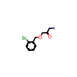 O=C(CI)COCc1ccccc1Br